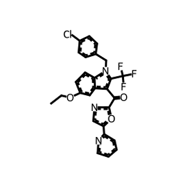 CCOc1ccc2c(c1)c(C(=O)c1ncc(-c3ccccn3)o1)c(C(F)(F)F)n2Cc1ccc(Cl)cc1